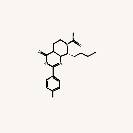 CCCC[C@@H]1C2N=C(c3ccc(Cl)cc3)NC(=O)C2CCN1C(C)=O